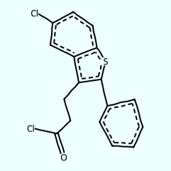 O=C(Cl)CCc1c(-c2ccccc2)sc2ccc(Cl)cc12